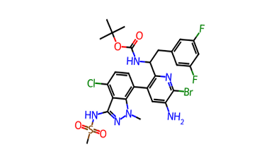 Cn1nc(NS(C)(=O)=O)c2c(Cl)ccc(-c3cc(N)c(Br)nc3C(Cc3cc(F)cc(F)c3)NC(=O)OC(C)(C)C)c21